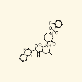 CC(C)CC(NC(=O)c1cnc2ccccc2n1)C(=O)N[C@H]1CCCN(S(=O)(=O)c2ccccc2F)CC1=O